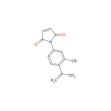 C=C(C)c1ccc(N2C(=O)C=CC2=O)cc1C#N